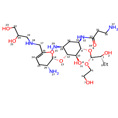 CC[C@@H](O)[C@H](OCCO)O[C@@H]1[C@@H](O)[C@H](O[C@H]2OC(CNCC(O)CO)=CC[C@H]2N)[C@@H](N)C[C@H]1NC(=O)CCN